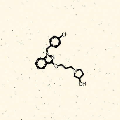 OC1CCN(CCCOc2nn(Cc3ccc(Cl)cc3)c3ccccc23)C1